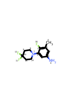 Cc1cc(N)cc(N2CCC(F)(F)CC2)c1F